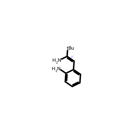 CC(C)(C)/C(N)=C/c1ccccc1N